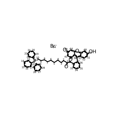 O=C(CCCCCCCCC[P+](c1ccccc1)(c1ccccc1)c1ccccc1)C(=O)c1ccccc1-c1c2ccc(=O)cc-2oc2cc(O)ccc12.[Br-]